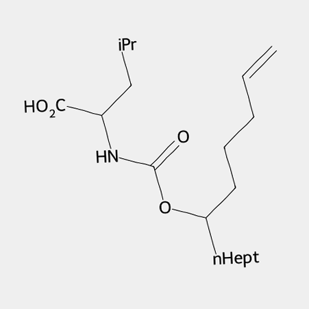 C=CCCCC(CCCCCCC)OC(=O)NC(CC(C)C)C(=O)O